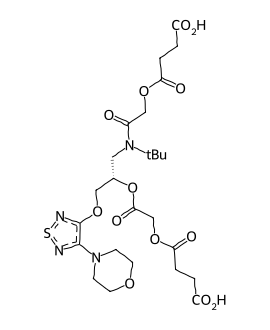 CC(C)(C)N(C[C@@H](COc1nsnc1N1CCOCC1)OC(=O)COC(=O)CCC(=O)O)C(=O)COC(=O)CCC(=O)O